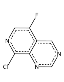 Fc1cnc(Cl)c2ncncc12